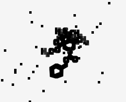 C=C1CN(C(=O)OCc2ccccc2)CC(C(=O)OC)(C(F)(F)[Si](C)(C)C)C1